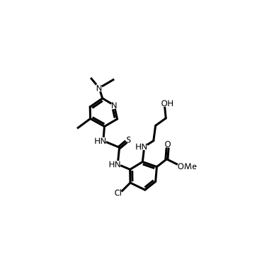 COC(=O)c1ccc(Cl)c(NC(=S)Nc2cnc(N(C)C)cc2C)c1NCCCO